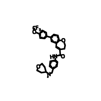 CN(Cc1ccc(NC(=O)C2=Cc3cc(-c4ccc(OC(F)(F)F)cc4)ccc3OCC2)cc1)C1CCOCC1